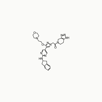 O=C(Cn1cc(-c2cnc(NC3Cc4ccccc4C3)nc2)c(OCCN2CCOCC2)n1)N1CCc2[nH]nnc2C1